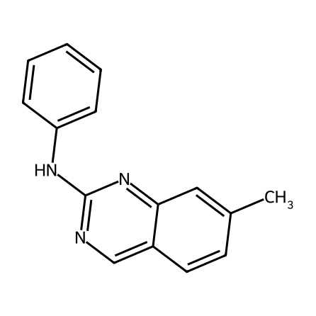 Cc1ccc2cnc(Nc3ccccc3)nc2c1